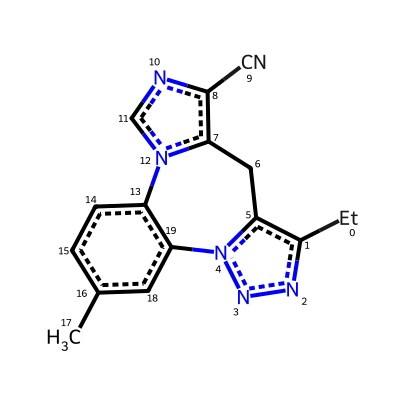 CCc1nnn2c1Cc1c(C#N)ncn1-c1ccc(C)cc1-2